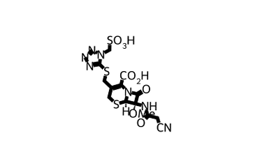 CO[C@@]1(NC(=O)CC#N)C(=O)N2C(C(=O)O)=C(CSc3nnnn3CS(=O)(=O)O)CS[C@@H]21